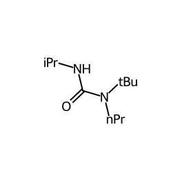 CCCN(C(=O)NC(C)C)C(C)(C)C